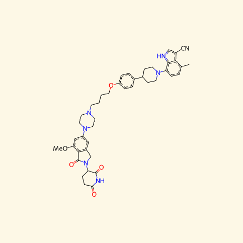 COc1cc(N2CCN(CCCCOc3ccc(C4CCN(c5ccc(C)c6c(C#N)c[nH]c56)CC4)cc3)CC2)cc2c1C(=O)N(C1CCC(=O)NC1=O)C2